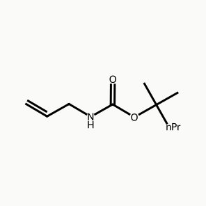 C=CCNC(=O)OC(C)(C)CCC